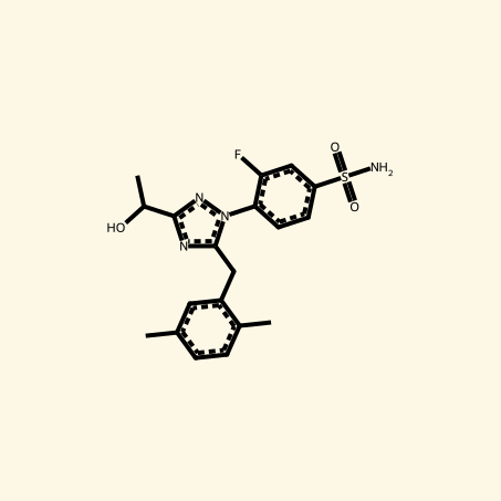 Cc1ccc(C)c(Cc2nc(C(C)O)nn2-c2ccc(S(N)(=O)=O)cc2F)c1